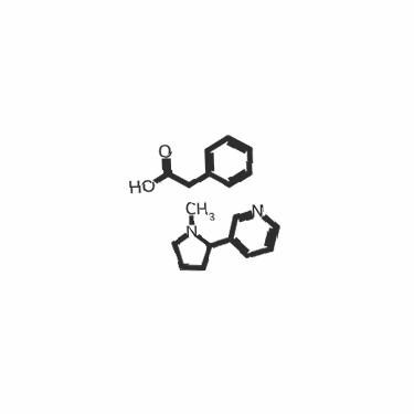 CN1CCCC1c1cccnc1.O=C(O)Cc1ccccc1